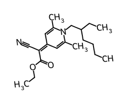 CCCCC(CC)CN1C(C)=CC(=C(C#N)C(=O)OCC)C=C1C